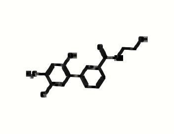 Cc1cc(O)c(-c2cccc(C(=O)NCCO)c2)cc1Cl